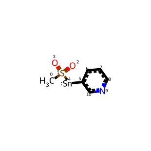 C[S](=O)(=O)[Sn][c]1cccnc1